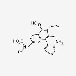 CCN(Cc1ccc2c(=O)n(CC(C)C)c(CN)c(-c3ccccc3)c2c1)C(=O)O.Cl